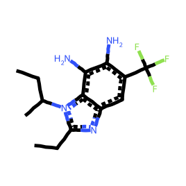 CCc1nc2cc(C(F)(F)F)c(N)c(N)c2n1C(C)CC